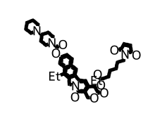 CCc1c2c(cc3ccc(OC(=O)N4CCC(N5CCCCC5)CC4)cc13)-c1cc3c(c(=O)n1C2)COC(=O)[C@@]3(CC)OC(=O)CCCCCN1C(=O)C=CC1=O